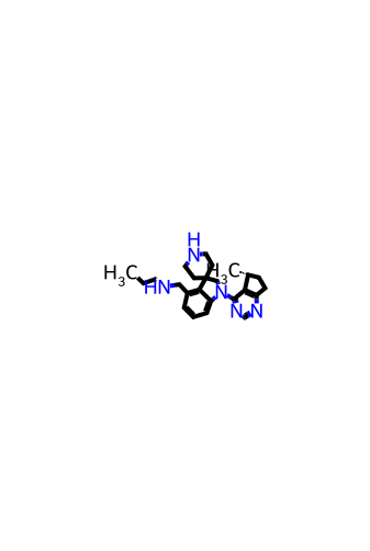 CCCNCc1cccc2c1C1(CCNCC1)CN2c1ncnc2c1[C@H](C)CC2